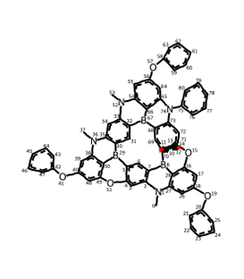 CN1c2cc3c(cc2B2c4ccccc4Oc4cc(Oc5ccccc5)cc1c42)B1c2cc4c(cc2N(C)c2cc(Oc5ccccc5)cc(c21)O3)N(C)c1cc(Oc2ccccc2)cc2c1B4c1ccccc1N2c1ccccc1